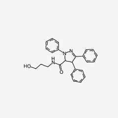 O=C(NCCCO)C1C(c2ccccc2)C(c2ccccc2)=NN1c1ccccc1